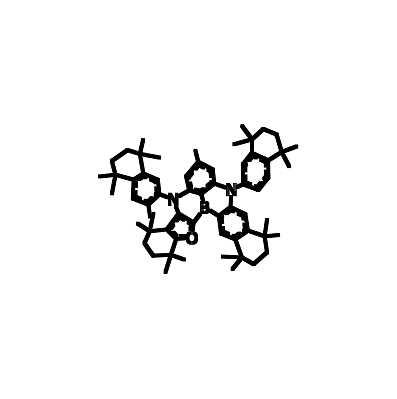 Cc1cc2c3c(c1)N(c1cc4c(cc1C)C(C)(C)CCC4(C)C)c1c(oc4c1C(C)(C)CCC4(C)C)B3c1cc3c(cc1N2c1ccc2c(c1)C(C)(C)CCC2(C)C)C(C)(C)CCC3(C)C